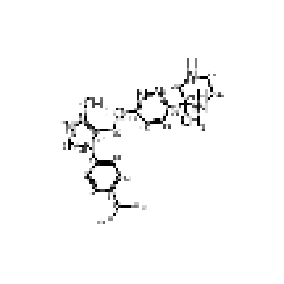 Cc1nnn(-c2ccc(C(F)F)cc2)c1COc1ccc([C@]2(C)CNCCN2)nn1